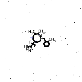 C=C1/C=C\C(C(F)(F)c2nnn[nH]2)=C/CN(Cc2ccccc2C)/N=C\1C